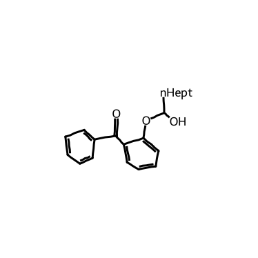 CCCCCCCC(O)Oc1ccccc1C(=O)c1ccccc1